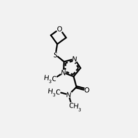 CN(C)C(=O)c1cnc(SC2COC2)n1C